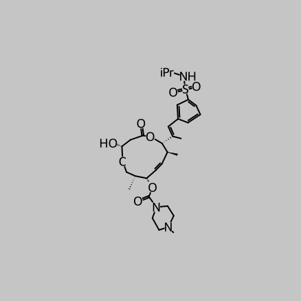 C/C(=C\c1cccc(S(=O)(=O)NC(C)C)c1)[C@H]1OC(=O)C[C@@H](O)CC[C@@H](C)[C@@H](OC(=O)N2CCN(C)CC2)/C=C/[C@@H]1C